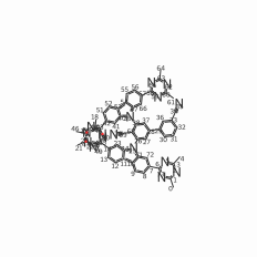 Cc1nc(C)nc(-c2ccc3c4ccc(-c5nc(C)nc(C)n5)cc4n(-c4cc(-c5cccc(C#N)c5)cc(-n5c6cc(-c7nc(C)nc(C)n7)ccc6c6ccc(-c7nc(C)nc(C)n7)cc65)c4C#N)c3c2)n1